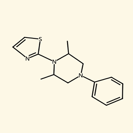 CC1CN(c2ccccc2)CC(C)N1c1nccs1